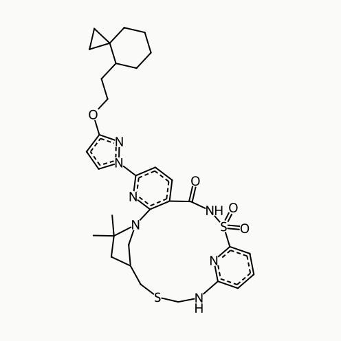 CC1(C)CC2CSCNc3cccc(n3)S(=O)(=O)NC(=O)c3ccc(-n4ccc(OCCC5CCCCC56CC6)n4)nc3N1C2